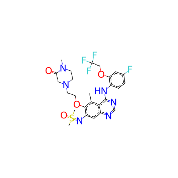 Cc1c(OCCN2CCN(C)C(=O)C2)c(N=S(C)(C)=O)cc2ncnc(Nc3ccc(F)cc3OCC(F)(F)F)c12